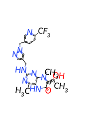 Cc1nc(NCc2cnn(Cc3ccc(C(F)(F)F)nc3)c2)nc2c1NC(=O)[C@H]([C@@H](C)O)N2C